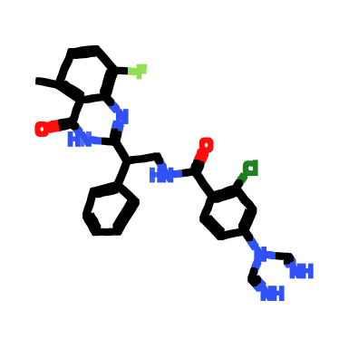 Cc1ccc(F)c2nc(C(CNC(=O)c3ccc(N(C=N)C=N)cc3Cl)c3ccccc3)[nH]c(=O)c12